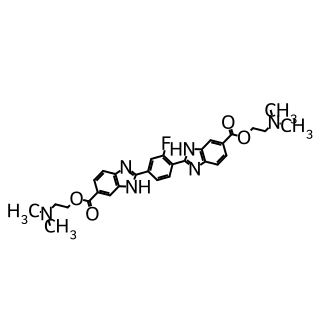 CN(C)CCOC(=O)c1ccc2nc(-c3ccc(-c4nc5ccc(C(=O)OCCN(C)C)cc5[nH]4)c(F)c3)[nH]c2c1